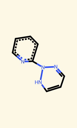 C1=CNN(c2ccccn2)N=C1